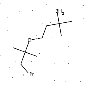 BC(C)(C)CCOC(C)(C)CC(C)C